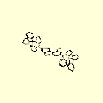 N#Cc1cc(N2c3ccccc3C(c3ccccc3)(c3ccccc3)c3ccccc32)ccc1-c1ccc(N2c3ccccc3C(c3ccccc3)(c3ccccc3)c3ccccc32)cc1C#N